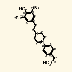 CC(C)(C)c1cc(CCN2CCN(c3ccc(CC(=O)O)cc3)CC2)cc(C(C)(C)C)c1O